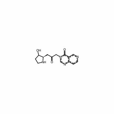 O=C(C[C@H]1NCCC1O)Cn1cnc2ccncc2c1=O